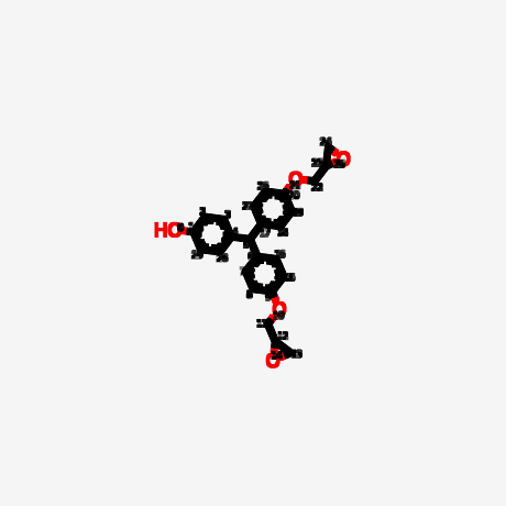 Oc1ccc(C(c2ccc(OCC3CO3)cc2)c2ccc(OCC3CO3)cc2)cc1